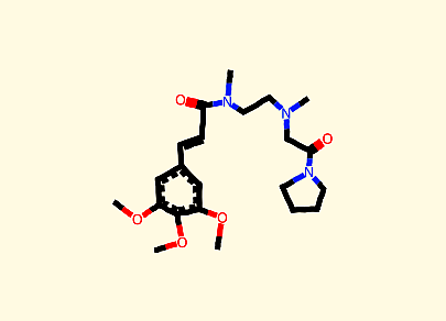 COc1cc(/C=C/C(=O)N(C)CCN(C)CC(=O)N2CCCC2)cc(OC)c1OC